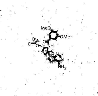 COc1cc(OC)cc(C(=O)NC2[C@@H](COP(=O)(Cl)Cl)OCC2(O)n2cnc3c(N)ncnc32)c1